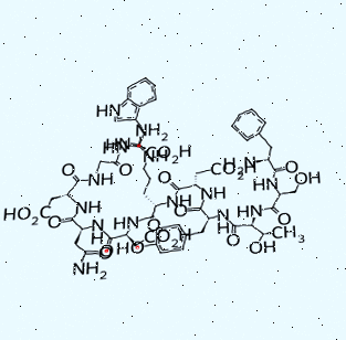 C[C@@H](O)[C@H](NC(=O)[C@H](CO)NC(=O)[C@@H](N)Cc1ccccc1)C(=O)N[C@@H](Cc1ccc(O)cc1)C(=O)N[C@@H](CC(=O)O)C(=O)N[C@@H](CCCNC(=N)N)C(=O)N[C@@H](CC(=O)O)C(=O)N[C@@H](CC(N)=O)C(=O)N[C@@H](CC(=O)O)C(=O)NCC(=O)N[C@@H](Cc1c[nH]c2ccccc12)C(=O)O